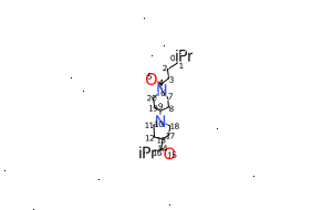 CC(C)CCCC(=O)N1CCC(N2CCC(C(=O)C(C)C)CC2)CC1